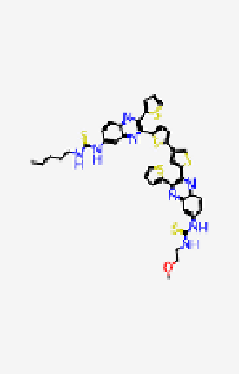 CCCCCNC(=S)Nc1ccc2nc(-c3cccs3)c(-c3ccc(-c4csc(-c5nc6ccc(NC(=S)NCCOC)cc6nc5-c5cccs5)c4)s3)nc2c1